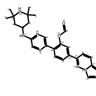 CC1(C)CC(Nc2cnc(-c3ccc(-c4ccc5nccn5n4)cc3OC=O)cn2)CC(C)(C)N1